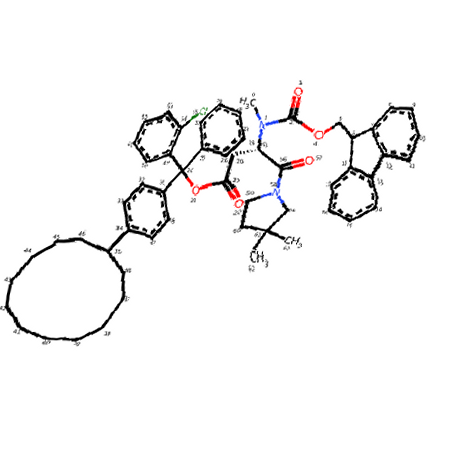 CN(C(=O)OCC1c2ccccc2-c2ccccc21)[C@@H](CC(=O)OC(c1ccccc1)(c1ccc(C2CCCCCCCCCCC2)cc1)c1ccccc1Cl)C(=O)N1CCC(C)(C)C1